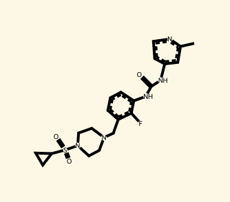 Cc1cc(NC(=O)Nc2cccc(CN3CCN(S(=O)(=O)C4CC4)CC3)c2F)ccn1